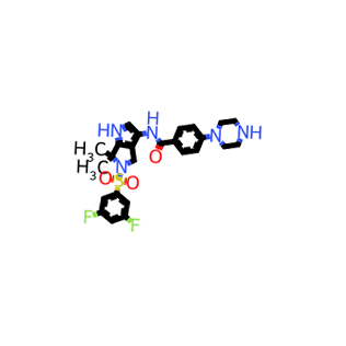 CC1(C)c2[nH]cc(NC(=O)c3ccc(N4CCNCC4)cc3)c2CN1S(=O)(=O)c1cc(F)cc(F)c1